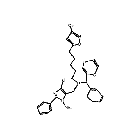 CCCCn1c(-c2ccccc2)nc(Cl)c1CN(CCCCCc1cc(O)no1)C(C1=CC=CCC1)C1=COC=CO1